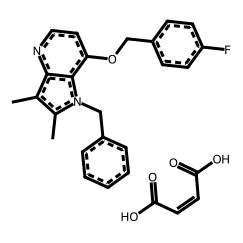 Cc1c(C)n(Cc2ccccc2)c2c(OCc3ccc(F)cc3)ccnc12.O=C(O)/C=C\C(=O)O